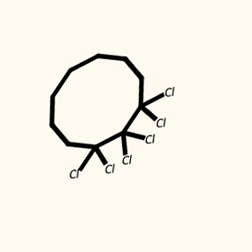 ClC1(Cl)CCCCCCCC(Cl)(Cl)C1(Cl)Cl